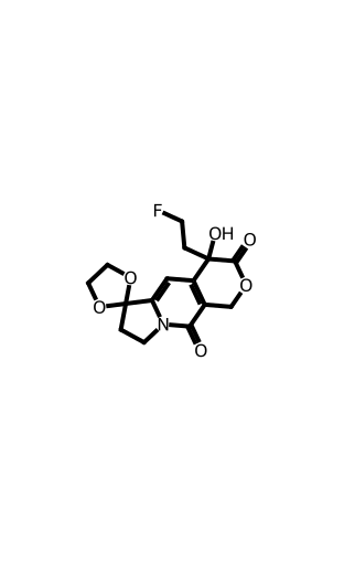 O=C1OCc2c(cc3n(c2=O)CCC32OCCO2)C1(O)CCF